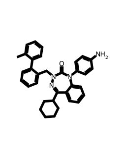 Cc1ccccc1-c1ccccc1CN1N=C(C2CCCCC2)c2ccccc2N(c2ccc(N)cc2)C1=O